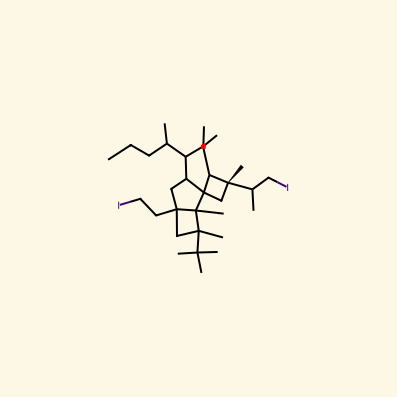 CCCC(C)C(CC)C1CC2(CCI)CC(C)(C(C)(C)C)C2(C)C12C[C@@](C)(C(C)CI)C2CC